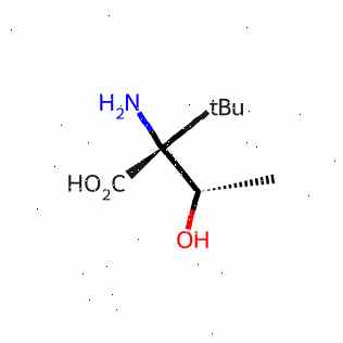 C[C@H](O)[C@@](N)(C(=O)O)C(C)(C)C